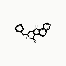 O=C1NC(Cc2ccccc2)Cc2[nH]c3c(ccc4cnccc43)c21